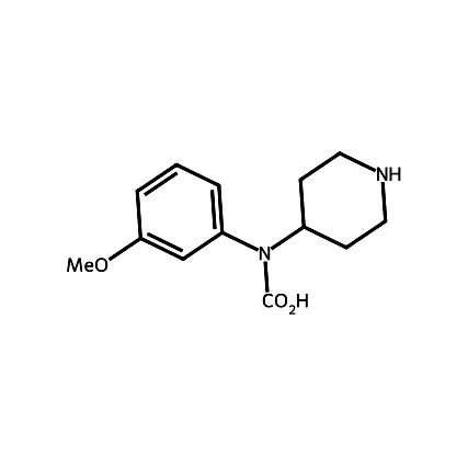 COc1cccc(N(C(=O)O)C2CCNCC2)c1